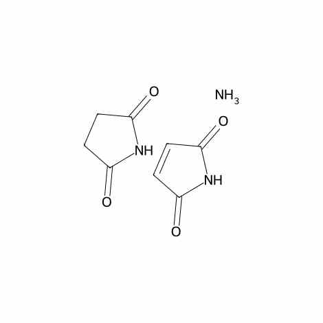 N.O=C1C=CC(=O)N1.O=C1CCC(=O)N1